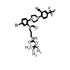 CC(C)(C)OC(=O)NCCCN(C=O)c1cc(Br)ccc1N1CCN(c2ccc(C(F)(F)F)cc2C#N)CC1